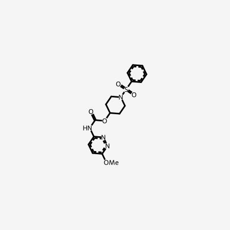 COc1ccc(NC(=O)OC2CCN(S(=O)(=O)c3ccccc3)CC2)nn1